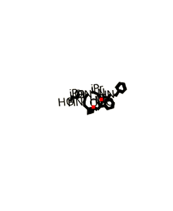 CC(C)[C@H](O)C(=O)N[C@H]1Cc2ccc3c(c2)C2(c4ccccc4NC2O3)c2oc(nc2C(=O)NCc2ccccc2)[C@H](C(C)C)NC1=O